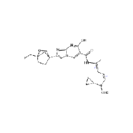 C/C(=C\C=C/N(C=O)C1CC1)NC(=O)c1cn2cc(C34CCC(CF)(C3)OC4)nc2nc1O